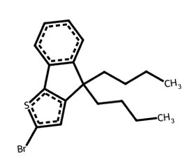 CCCCC1(CCCC)c2ccccc2-c2sc(Br)cc21